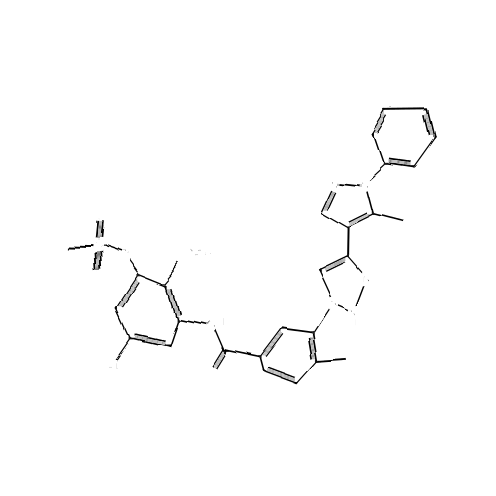 COc1c(NC(=O)c2ccc(C)c(N3C=C(c4cnn(-c5ccccc5)c4C)NN3)c2)cc(C(C)(C)C)cc1NS(C)(=O)=O